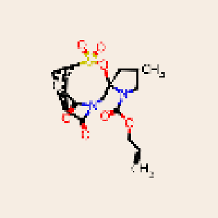 C.C=CCOC(=O)N1CCC[C@]12CN1C(=O)c3ccc(cc3C1=O)S(=O)(=O)O2